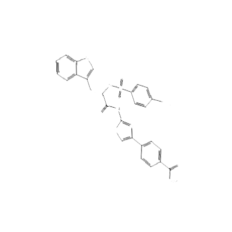 COC(=O)c1ccc(-c2csc(NC(=O)[C@H](Cc3c[nH]c4ccccc34)NS(=O)(=O)c3ccc(C)cc3)n2)cc1